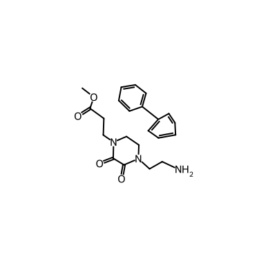 COC(=O)CCN1CCN(CCN)C(=O)C1=O.c1ccc(-c2ccccc2)cc1